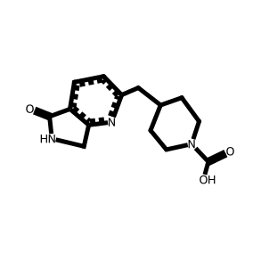 O=C1NCc2nc(CC3CCN(C(=O)O)CC3)ccc21